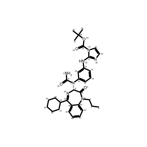 CCCN1C(=O)[C@@H](N(C(N)=O)c2cccc(Nc3nccn3C(=O)OC(C)(C)C)c2)N=C(C2CCCCC2)c2ccccc21